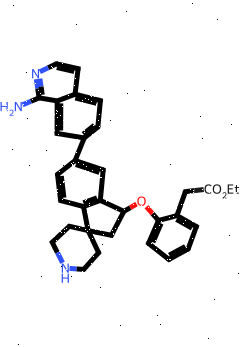 CCOC(=O)Cc1ccccc1OC1CC2(CCNCC2)c2ccc(-c3ccc4ccnc(N)c4c3)cc21